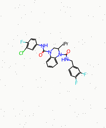 CC(C)C1CN(C(=O)Nc2ccc(F)c(Cl)c2)c2ccccc2N1C(=O)NCc1ccc(F)c(F)c1